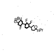 CCCCOc1ccc(-c2ccc(C3CCC(CCC)OC3)c(F)c2F)c(F)c1